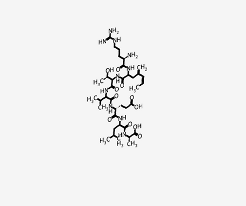 C=C(/C=C\C)CC(NC(=O)[C@H](N)CCCNC(=N)N)C(=O)NC(C(=O)NC(C(=O)N[C@H](CCC(=O)O)C(=O)NC(CC(C)C)C(=O)N[C@H](C)C(=O)O)C(C)C)[C@@H](C)O